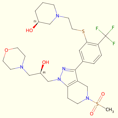 CS(=O)(=O)N1CCc2c(c(-c3ccc(C(F)(F)F)c(SCCN4CCC[C@H](O)C4)c3)nn2C[C@H](O)CN2CCOCC2)C1